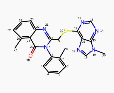 Cc1ccccc1-n1c(CSc2ncnc3c2ncn3C)nc2cccc(C)c2c1=O